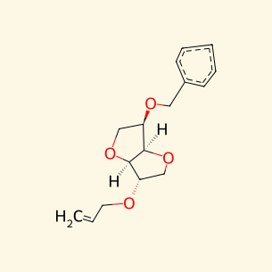 C=CCO[C@H]1CO[C@H]2[C@@H]1OC[C@H]2OCc1ccccc1